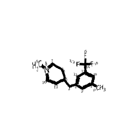 Cc1cc(CC2CCN(C)CC2)cc(C(F)(F)F)c1